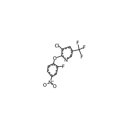 O=[N+]([O-])c1ccc(Oc2ncc(C(F)(F)F)cc2Cl)c(F)c1